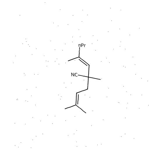 CCCC(C)=CC(C)(C#N)CC=C(C)C